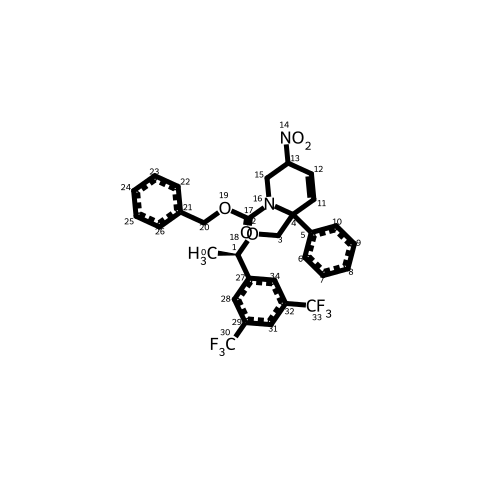 C[C@@H](OCC1(c2ccccc2)C=CC([N+](=O)[O-])CN1C(=O)OCc1ccccc1)c1cc(C(F)(F)F)cc(C(F)(F)F)c1